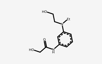 CCN(CCO)c1cccc(NC(=O)CO)c1